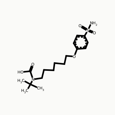 CC(C)(C)N(CCCCCCOc1ccc(S(N)(=O)=O)cc1)C(=O)O